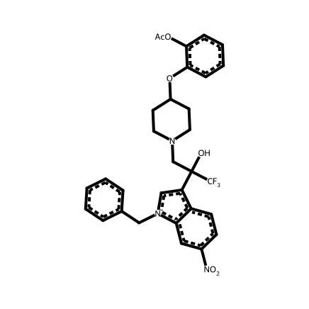 CC(=O)Oc1ccccc1OC1CCN(CC(O)(c2cn(Cc3ccccc3)c3cc([N+](=O)[O-])ccc23)C(F)(F)F)CC1